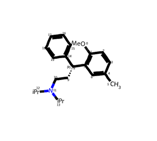 COc1ccc(C)cc1[C@H](CCN(C(C)C)C(C)C)c1ccccc1